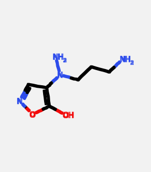 NCCCN(N)c1cnoc1O